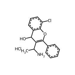 CC(N)C1=C(c2ccccc2)Oc2c(Cl)cccc2C1O.Cl